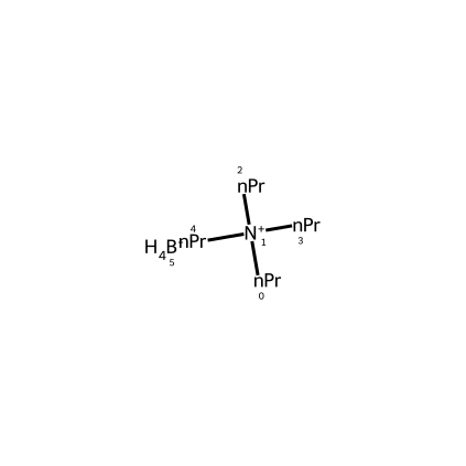 CCC[N+](CCC)(CCC)CCC.[BH4-]